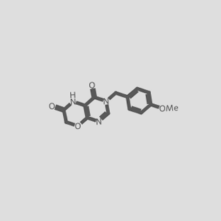 COc1ccc(Cn2cnc3c(c2=O)NC(=O)CO3)cc1